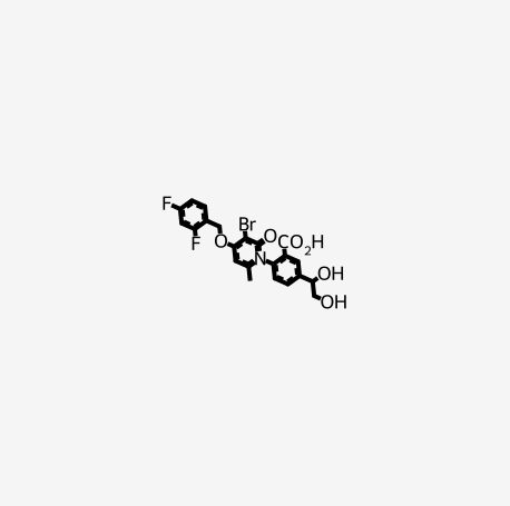 Cc1cc(OCc2ccc(F)cc2F)c(Br)c(=O)n1-c1ccc(C(O)CO)cc1C(=O)O